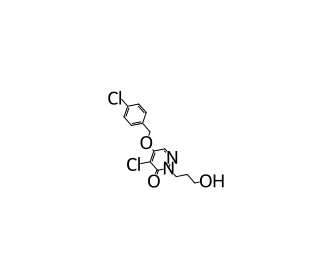 O=c1c(Cl)c(OCc2ccc(Cl)cc2)cnn1CCCO